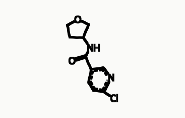 O=C(NC1CCOC1)c1ccc(Cl)nc1